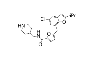 CC(C)c1cc2cc(Cl)cc(Cc3ccc(C(=O)NCC4CCNCC4)o3)c2o1